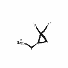 CSC[C@@H]1CC1(F)F